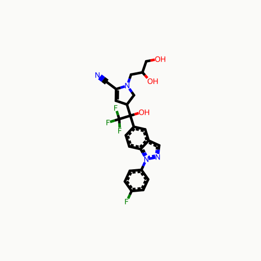 N#CC1=CC(C(O)(c2ccc3c(cnn3-c3ccc(F)cc3)c2)C(F)(F)F)CN1CC(O)CO